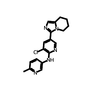 Cc1ccc(Nc2ncc(-c3ncc4n3CCCC4)cc2Cl)cn1